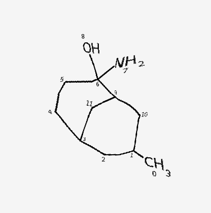 CC1CC2CCC(N)(O)C(C1)C2